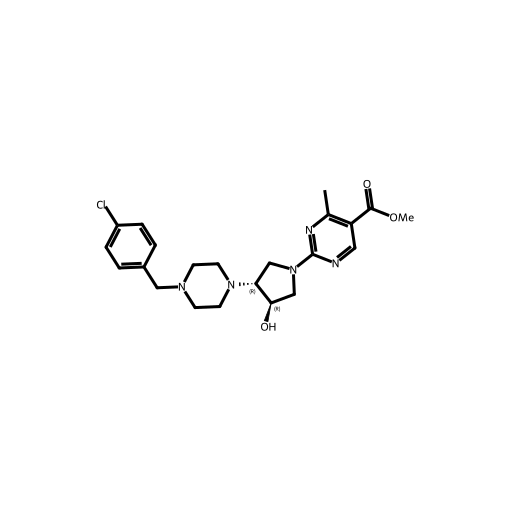 COC(=O)c1cnc(N2C[C@@H](O)[C@H](N3CCN(Cc4ccc(Cl)cc4)CC3)C2)nc1C